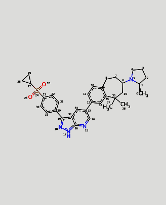 C[C@@H]1CCCN1C1CCc2ccc(-c3cnc4[nH]nc(-c5ccc(S(=O)(=O)C6CC6)cc5)c4c3)cc2C(C)(C)C1